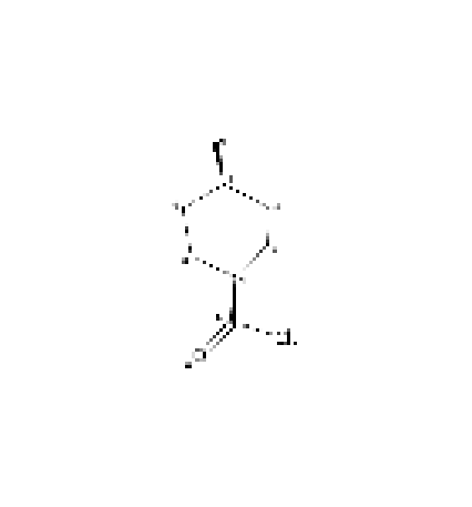 C[C@H]1CC[C@@H](C(=O)Cl)CC1